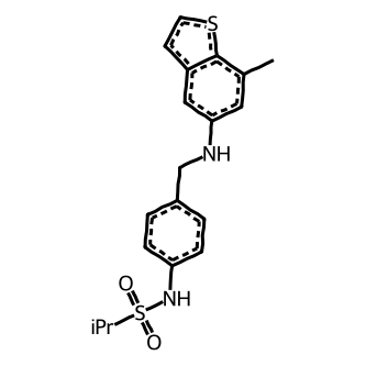 Cc1cc(NCc2ccc(NS(=O)(=O)C(C)C)cc2)cc2ccsc12